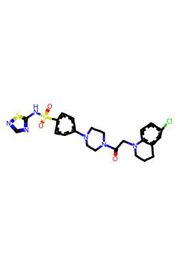 O=C(CN1CCCc2cc(Cl)ccc21)N1CCN(c2ccc(S(=O)(=O)Nc3ncns3)cc2)CC1